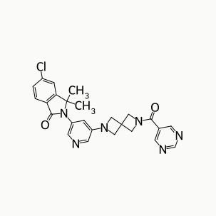 CC1(C)c2cc(Cl)ccc2C(=O)N1c1cncc(N2CC3(CN(C(=O)c4cncnc4)C3)C2)c1